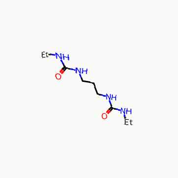 CCNC(=O)NCCCNC(=O)NCC